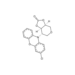 O=S1O[C@H]2[C@H](COC[C@@H]2N2c3ccccc3Oc3cc(Cl)ccc32)O1